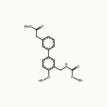 CCCOc1ccc(-c2cccc(CC(=O)OC)c2)cc1CNC(=O)OC(C)(C)C